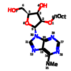 CCCCCCCCO[C@@H]1[C@H](O)[C@@H](CO)O[C@H]1n1cnc2c(NC)ncnc21